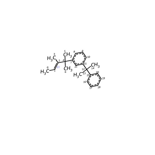 C/C=C(\C)C(C)(C)c1cccc(C(C)(C)c2ccccc2)c1